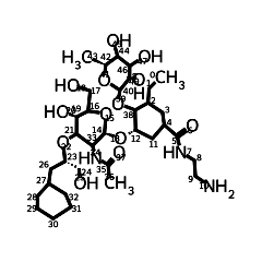 CCC1CC(C(=O)NCCN)C[C@H](O[C@@H]2OC(CO)[C@H](O)C(O[C@H](CO)CC3CCCCC3)C2NC(C)=O)C1OC1O[C@@H](C)C(O)C(O)[C@@H]1O